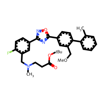 COCc1cc(-c2nc(-c3ccc(F)c(CN(C)CCC(=O)OC(C)(C)C)c3)no2)ccc1-c1ccccc1C